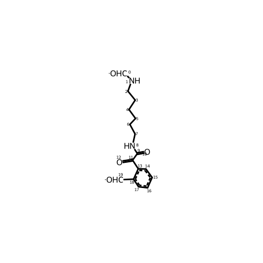 O=[C]NCCCCCCNC(=O)C(=O)c1ccccc1[C]=O